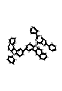 c1ccc(-c2cc3nc(-c4ccncc4)nc(-n4c5ccc(-c6ccc7c(c6)c6c8ccccc8ccc6n7-c6ccccc6)cc5c5cc6ccccc6cc54)c3s2)cc1